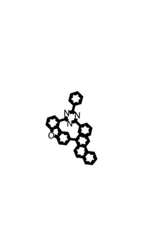 c1ccc(-c2nc(-c3ccccc3)nc(-c3cccc4oc5ccc(-c6cccc7c6ccc6ccccc67)cc5c34)n2)cc1